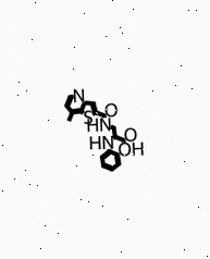 Cc1ccnc2cc(C(=O)NCC(Nc3ccccc3)C(=O)O)sc12